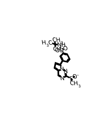 C[S+]([O-])c1ncc2ccc(-c3cccc(S(=O)(=O)NC(C)(C)C)c3)n2n1